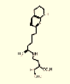 C=C(CCCCc1ccc2c(n1)NCCC2)NCCC(NC=O)C(=O)O